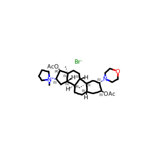 CC(=O)O[C@H]1C[C@@H]2CC[C@@H]3[C@H](CC[C@@]4(C)[C@H]3C[C@H]([N+]3(C)CCCC3)[C@@H]4OC(C)=O)[C@@]2(C)C[C@@H]1N1CCOCC1.[Br-]